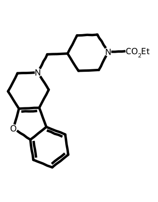 CCOC(=O)N1CCC(CN2CCc3oc4ccccc4c3C2)CC1